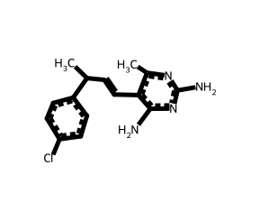 Cc1nc(N)nc(N)c1C=CC(C)c1ccc(Cl)cc1